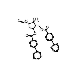 C=C1[C@H](OC=O)C[C@H](OC(=O)c2ccc(-c3ccccc3)cc2)[C@H]1COC(=O)c1ccc(-c2ccccc2)cc1